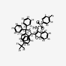 Cc1ccc(S(=O)(=O)Nc2c([C@H](SC(c3ccccc3)(c3ccccc3)c3ccccc3)c3ccc(C(C)(C)C)cc3)oc3ccccc23)cc1